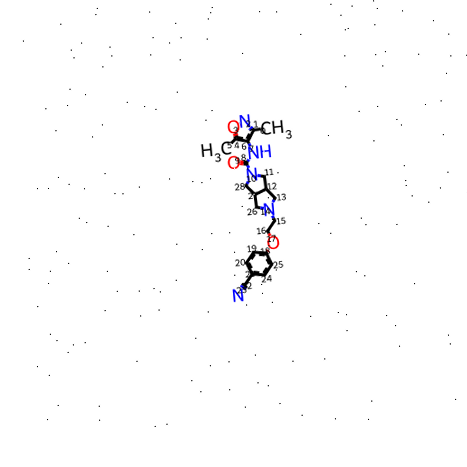 Cc1noc(C)c1NC(=O)N1CC2CN(CCOc3ccc(C#N)cc3)CC2C1